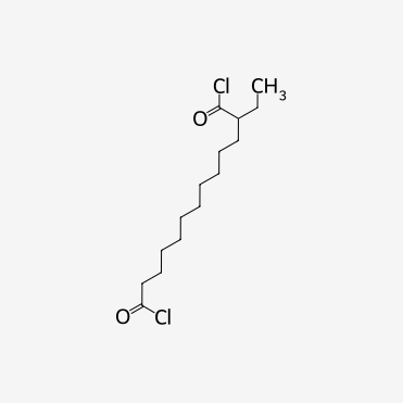 CCC(CCCCCCCCCCC(=O)Cl)C(=O)Cl